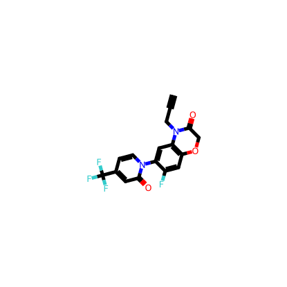 C#CCN1C(=O)COc2cc(F)c(-n3ccc(C(F)(F)F)cc3=O)cc21